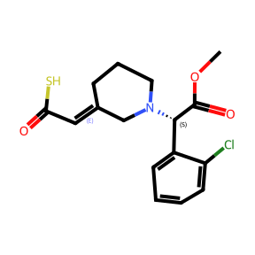 COC(=O)[C@H](c1ccccc1Cl)N1CCC/C(=C\C(=O)S)C1